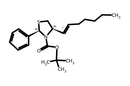 CCCCC/C=C/[C@@H]1CS[C@H](c2ccccc2)N1C(=O)OC(C)(C)C